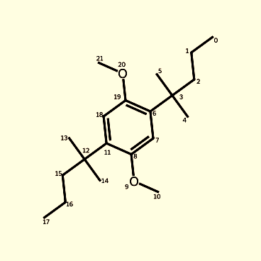 CCCC(C)(C)c1cc(OC)c(C(C)(C)CCC)cc1OC